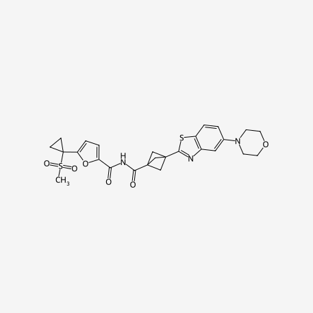 CS(=O)(=O)C1(c2ccc(C(=O)NC(=O)C34CC(c5nc6cc(N7CCOCC7)ccc6s5)(C3)C4)o2)CC1